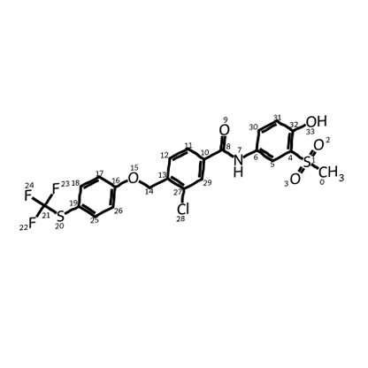 CS(=O)(=O)c1cc(NC(=O)c2ccc(COc3ccc(SC(F)(F)F)cc3)c(Cl)c2)ccc1O